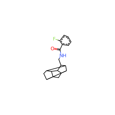 O=C(NCC1C2C3CC4C5CC(C42)C1C53)c1ccccc1F